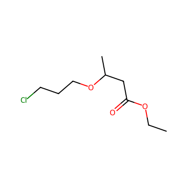 CCOC(=O)CC(C)OCCCCl